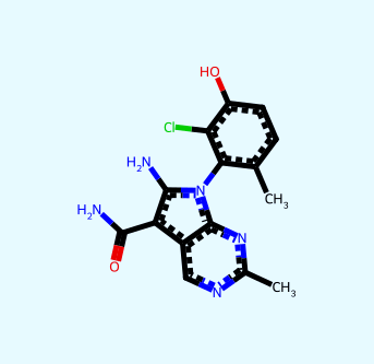 Cc1ncc2c(C(N)=O)c(N)n(-c3c(C)ccc(O)c3Cl)c2n1